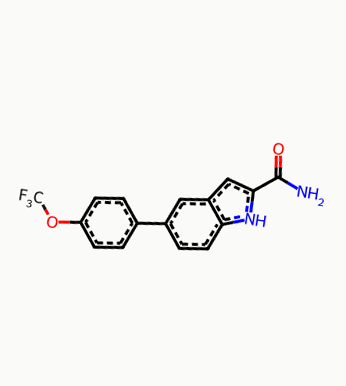 NC(=O)c1cc2cc(-c3ccc(OC(F)(F)F)cc3)ccc2[nH]1